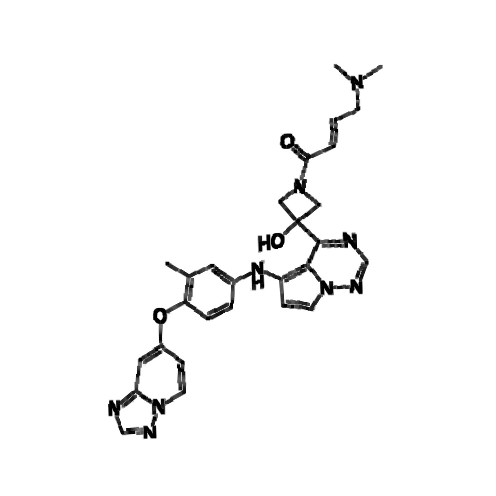 Cc1cc(Nc2ccn3ncnc(C4(O)CN(C(=O)/C=C/CN(C)C)C4)c23)ccc1Oc1ccn2ncnc2c1